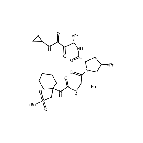 CCC[C@H](NC(=O)[C@@H]1C[C@@H](C(C)C)CN1C(=O)[C@@H](NC(=O)NC1(CS(=O)(=O)C(C)(C)C)CCCCC1)C(C)(C)C)C(=O)C(=O)NC1CC1